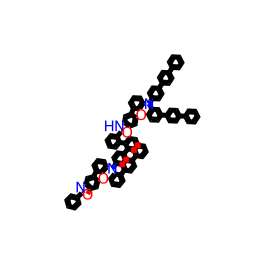 c1ccc(-c2ccc(-c3ccc(N(c4cccc(-c5ccc(-c6ccccc6)cc5)c4)c4cccc5c4oc4cc6c(cc45)NC(c4ccccc4-c4ccccc4-c4ccc(N(c5ccccc5-c5ccc(-c7ccccc7)cc5)c5cccc7c5oc5cc8oc(-c9ccccc9)nc8cc57)cc4)O6)cc3)cc2)cc1